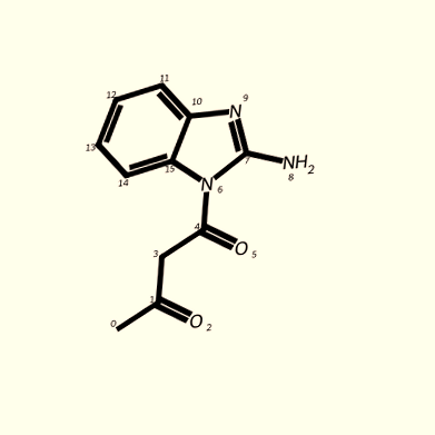 CC(=O)CC(=O)n1c(N)nc2ccccc21